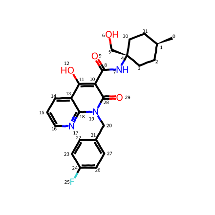 C[C@H]1CC[C@](CO)(NC(=O)c2c(O)c3cccnc3n(Cc3ccc(F)cc3)c2=O)CC1